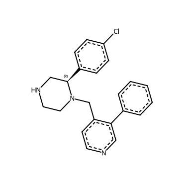 Clc1ccc([C@@H]2CNCCN2Cc2ccncc2-c2ccccc2)cc1